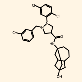 O=C(NC12CCCC3CC(O)(CC3C1)C2)C1CN(Cc2cccc(Cl)c2)N(c2cc(Cl)ccc2Cl)C1